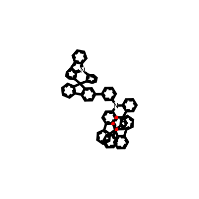 c1ccc(-c2ccc(-c3ccccc3N(c3cccc(-c4ccc5c(c4)C4(c6ccccc6-5)c5ccccc5-n5c6ccccc6c6cccc4c65)c3)c3ccc4c(c3)C3(c5ccccc5-c5ccccc53)c3ccccc3-4)cc2)cc1